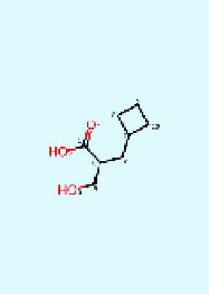 O=C(O)[C@H](CO)CC1CCC1